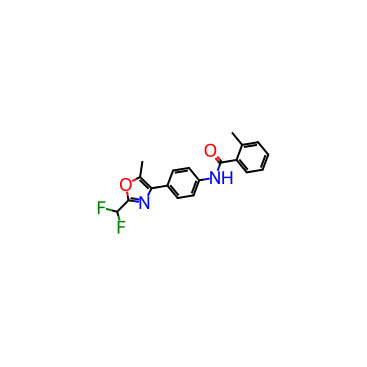 Cc1ccccc1C(=O)Nc1ccc(-c2nc(C(F)F)oc2C)cc1